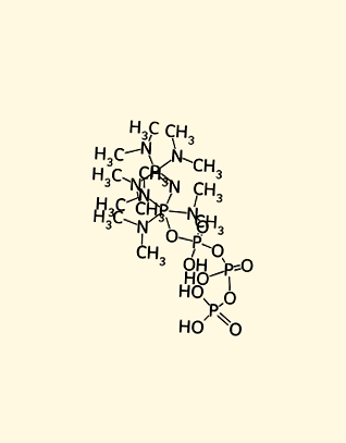 CN(C)P(=NP(OP(=O)(O)OP(=O)(O)OP(=O)(O)O)(N(C)C)(N(C)C)N(C)C)(N(C)C)N(C)C